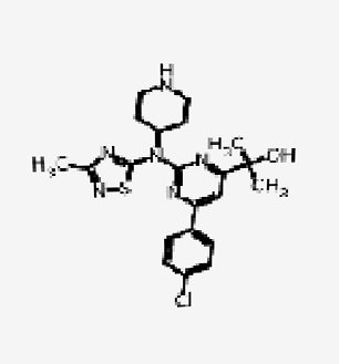 Cc1nsc(N(c2nc(-c3ccc(Cl)cc3)cc(C(C)(C)O)n2)C2CCNCC2)n1